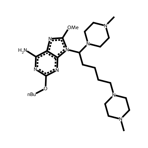 CCCCOc1nc(N)c2nc(OC)n(C(CCCCN3CCN(C)CC3)N3CCN(C)CC3)c2n1